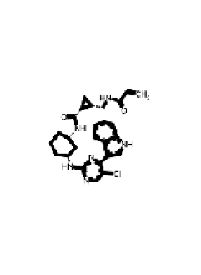 C=CC(=O)NC[C@H]1C[C@H]1C(=O)N[C@H]1CCC[C@@H](Nc2ncc(Cl)c(-c3c[nH]c4ccccc34)n2)C1